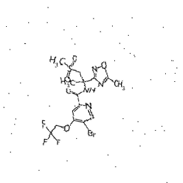 Cc1nc(C(C)(CS(C)(=O)=O)NC(=O)c2cc(OCC(F)(F)F)c(Br)cn2)no1